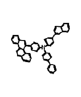 c1ccc(-c2ccc(N(c3ccc(-c4ccc5ccccc5c4)cc3)c3ccc(-c4cc5ccccc5c5ccc6ccccc6c45)cc3)cc2)cc1